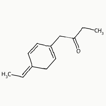 CC=C1C=CC(CC(=O)CC)=CC1